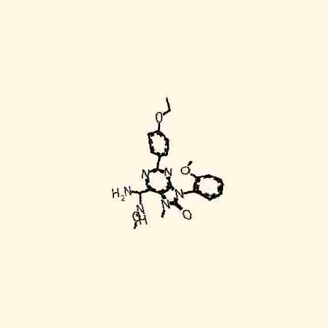 CCOc1ccc(-c2nc(C(N)NOC)c3c(n2)n(-c2ccccc2OC)c(=O)n3C)cc1